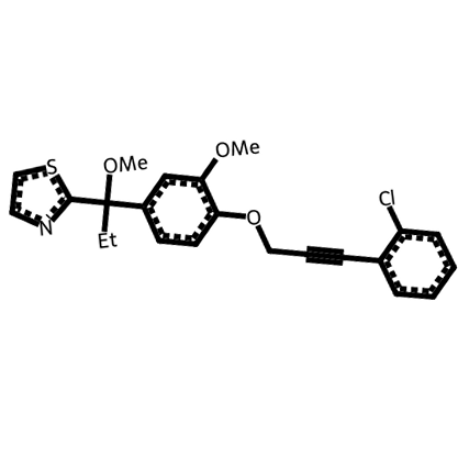 CCC(OC)(c1ccc(OCC#Cc2ccccc2Cl)c(OC)c1)c1nccs1